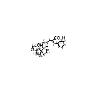 C[C@H](NCC(Cc1ccccc1)C(=O)O)C(=O)C1CCCC12CNC(OC(=O)O)C2